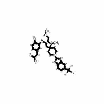 COCCN(C)C1(CCOc2cc(CC(=O)O)ccc2Cl)CCN(c2nc3ccc(C(F)(F)F)cc3s2)CC1